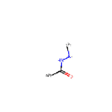 CCC[N]NC(=O)CCC